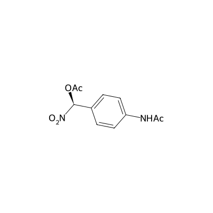 CC(=O)Nc1ccc([C@H](OC(C)=O)[N+](=O)[O-])cc1